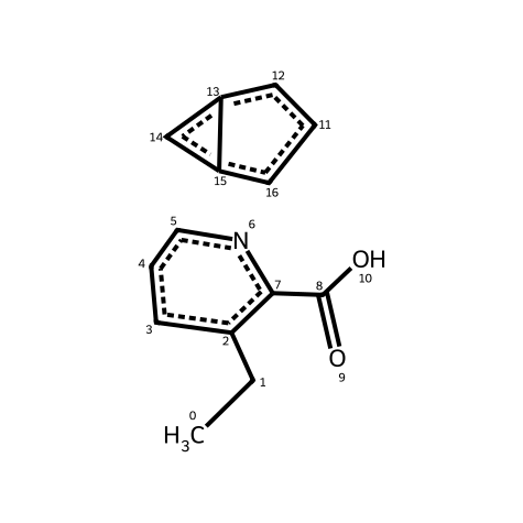 CCc1cccnc1C(=O)O.c1cc2cc-2c1